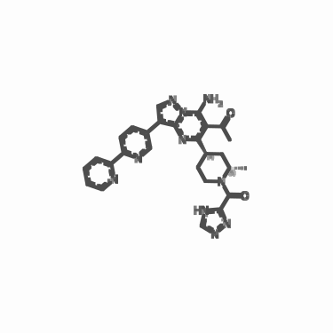 CC(=O)c1c([C@@H]2CCN(C(=O)c3nnc[nH]3)[C@@H](C)C2)nc2c(-c3ccc(-c4ccccn4)nc3)cnn2c1N